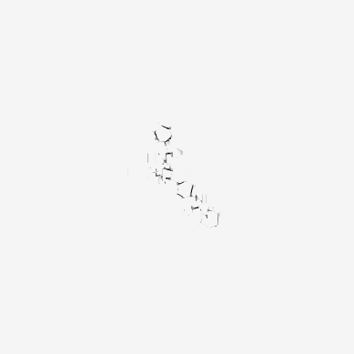 Cn1nc(-c2ccc(NC(=O)N3CCCCC3)cc2)cc1NC(=O)c1ccccc1